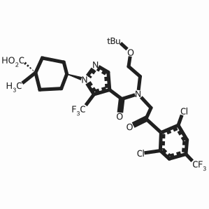 CC(C)(C)OCCN(CC(=O)c1c(Cl)cc(C(F)(F)F)cc1Cl)C(=O)c1cnn([C@H]2CC[C@](C)(C(=O)O)CC2)c1C(F)(F)F